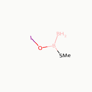 BB(OI)SC